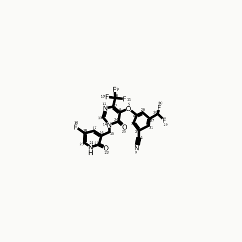 N#Cc1cc(Oc2c(C(F)(F)F)ncn(Cc3cc(F)c[nH]c3=O)c2=O)cc(C(F)F)c1